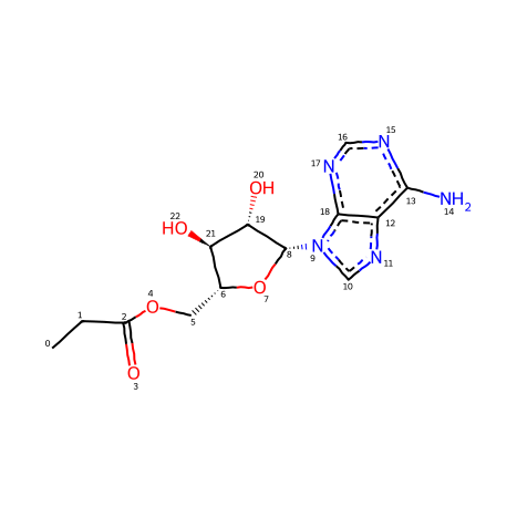 CCC(=O)OC[C@H]1O[C@@H](n2cnc3c(N)ncnc32)[C@@H](O)[C@@H]1O